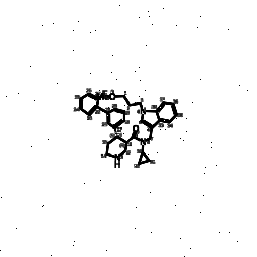 COCCCn1cc(CN(C(=O)[C@H]2CNCC[C@@H]2c2cccc(-c3ccccc3F)c2)C2CC2)c2ccccc21